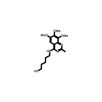 COc1cc2c(NCCCCCO)nc(C)nc2c(OC)c1OC